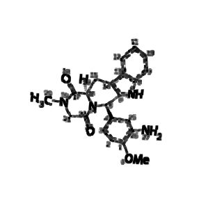 COc1ccc([C@@H]2c3[nH]c4ccccc4c3C[C@@H]3C(=O)N(C)CC(=O)N23)cc1N